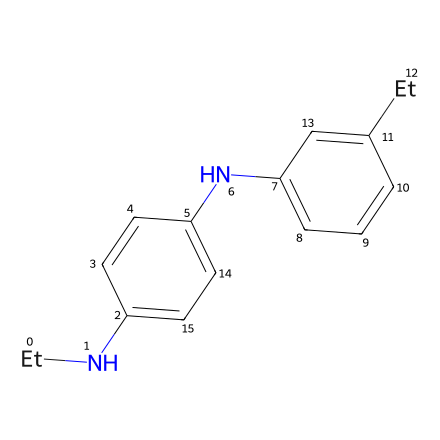 CCNc1ccc(Nc2cccc(CC)c2)cc1